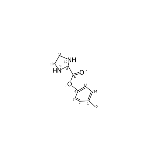 Cc1ccc(OC(=O)C2NCCN2)cc1